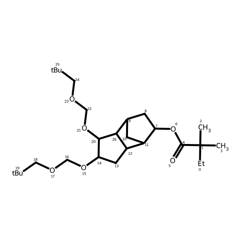 CCC(C)(C)C(=O)OC1CC2CC1C1CC(OCOCC(C)(C)C)C(OCOCC(C)(C)C)C21